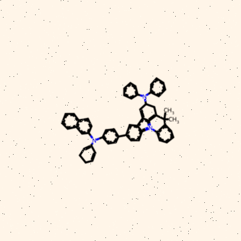 CC1(C)C2=c3c(c4cc(-c5ccc(N(C6=CCCC=C6)c6ccc7ccccc7c6)cc5)ccc4n3-c3ccccc31)=CC(N(c1ccccc1)c1ccccc1)C2